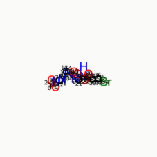 CC(C)S(=O)(=O)N1CCN(C[C@@H]2CCCN2C(=O)CN2CCC[C@H](NS(=O)(=O)c3ccc4cc(Br)ccc4c3)C2=O)CC1